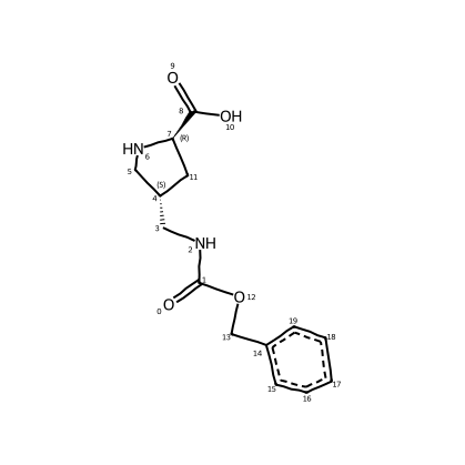 O=C(NC[C@@H]1CN[C@@H](C(=O)O)C1)OCc1ccccc1